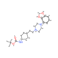 CC(C)(C)OC(=O)NC1CCC(CCN2CCN(c3cccc4c3OCO4)CC2)CC1